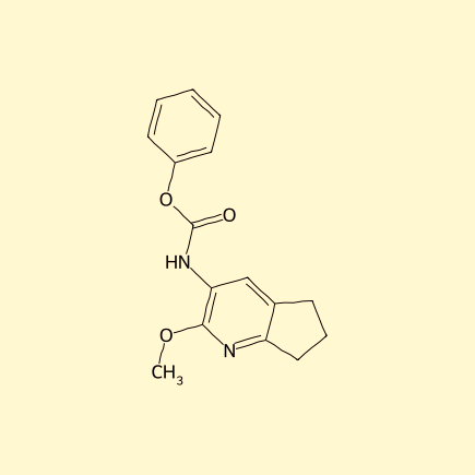 COc1nc2c(cc1NC(=O)Oc1ccccc1)CCC2